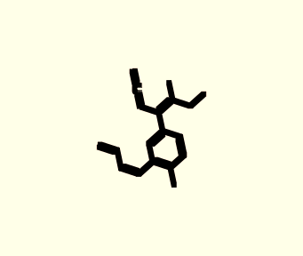 C=C=C/C(=C(\C)CC)c1ccc(C)c(/C=C\C=C)c1